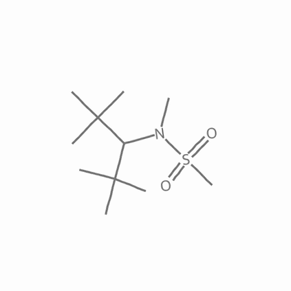 CN(C(C(C)(C)C)C(C)(C)C)S(C)(=O)=O